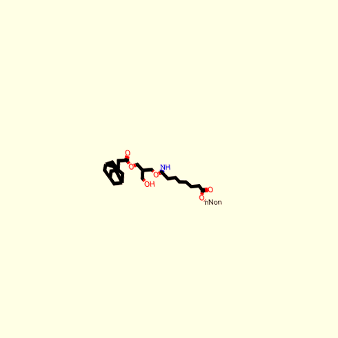 CCCCCCCCCOC(=O)CCCCCCC(=N)OCC(CO)COC(=O)CC12CC3CC(CC(C3)C1)C2